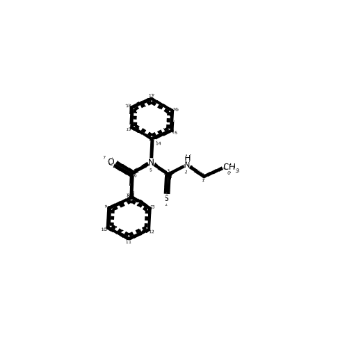 CCNC(=S)N(C(=O)c1ccccc1)c1ccccc1